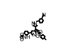 Cc1ccc(S(=O)(=O)n2cc(-c3cnn(Cc4cccc(C#N)c4)c3)c3cc(-c4cccc(NS(C)(=O)=O)c4)cnc32)cc1